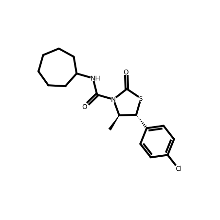 C[C@@H]1[C@@H](c2ccc(Cl)cc2)SC(=O)N1C(=O)NC1CCCCCC1